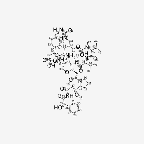 CC[C@H](C)[C@@H]([C@@H](CC(=O)N1CCC[C@H]1[C@H](OC)[C@@H](C)C(=O)N[C@H](C)[C@@H](O)c1ccccc1)OC)N(C)C(=O)[C@@H](NC(=O)[C@H](C(C)C)N(C)C(=O)OCC(CNC(N)=O)C(c1ccccc1CCS(=O)(=O)O)[C@H](N)C(N)=O)C(C)C